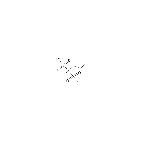 CCCC(C)(S(C)(=O)=O)S(=O)(O)=S